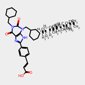 C=C.C=C.C=C.C=C.C=C.C=C.C=C.C=C.C=C.C=C.O=C(O)/C=C/c1ccc(-c2nc3c(=O)n(CC4CCCCC4)c(=O)n(CC4CCCCC4)c3[nH]2)cc1